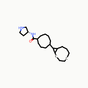 O=C(N[C@@H]1CCNC1)C1CCCCC(C2C3CCCCCCCC32)CCC1